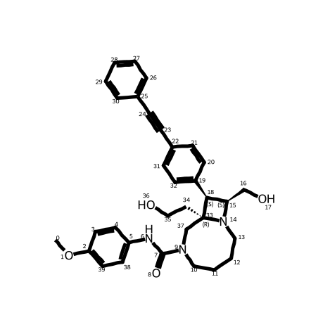 COc1ccc(NC(=O)N2CCCCN3[C@H](CO)[C@H](c4ccc(C#Cc5ccccc5)cc4)[C@]3(CCO)C2)cc1